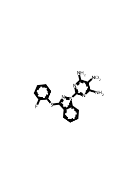 Nc1nc(-n2nc(Sc3ccccc3F)c3ccccc32)nc(N)c1[N+](=O)[O-]